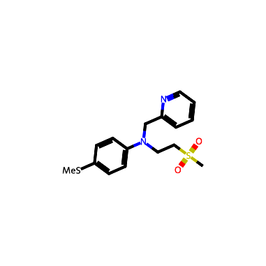 CSc1ccc(N(CCS(C)(=O)=O)Cc2ccccn2)cc1